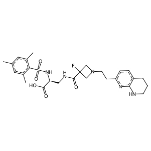 Cc1cc(C)c(S(=O)(=O)N[C@@H](CNC(=O)C2(F)CN(CCc3ccc4c(n3)NCCC4)C2)C(=O)O)c(C)c1